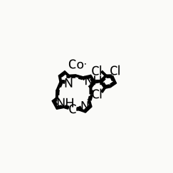 Clc1ccc(Cl)c(-c2cc3cc4nc(cc5ccc(cc6nc(cc2[nH]3)C=C6)[nH]5)C=C4)c1Cl.[Co]